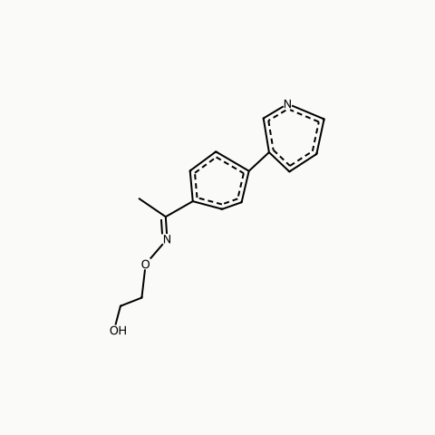 CC(=NOCCO)c1ccc(-c2cccnc2)cc1